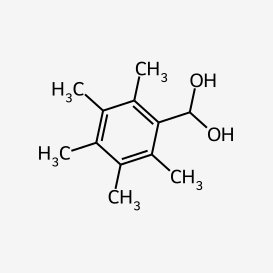 Cc1c(C)c(C)c(C(O)O)c(C)c1C